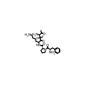 CC(=O)C(N)C(F)(F)C(=O)C(CCCCN)NC(=O)[C@@H]1CCCN1C(=O)[C@H](N)Cc1ccccc1